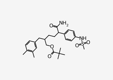 Cc1ccc(CC(CCC(C(N)=O)c2ccc(NS(C)(=O)=O)cc2)COC(=O)C(C)(C)C)cc1C